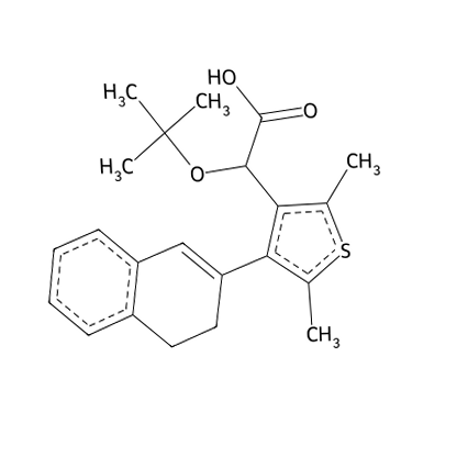 Cc1sc(C)c(C(OC(C)(C)C)C(=O)O)c1C1=Cc2ccccc2CC1